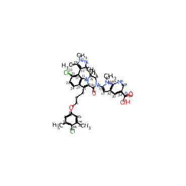 Cc1cc(OCCCc2c3n(c4c(-c5c(C)nn(C)c5C)c(Cl)ccc24)[C@H](C)CN(c2cc4cc(C(=O)O)cnc4n2C)C3=O)cc(C)c1Cl